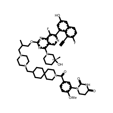 C#Cc1c(F)ccc2cc(O)cc(-c3ncc4c(N5CCC[C@@](C)(O)C5)nc(OCC(C)CN5CCN(CC6CCC7(CC6)CCN(C(=O)c6ccc(OC)c(N8CCC(=O)NC8=O)c6)CC7)CC5)nc4c3F)c12